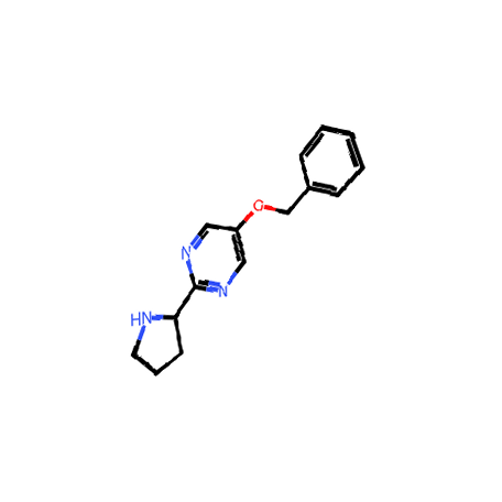 c1ccc(COc2cnc(C3CCCN3)nc2)cc1